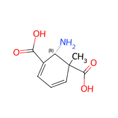 CC1(C(=O)O)C=CC=C(C(=O)O)[C@@H]1N